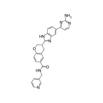 Nc1nccc(-c2ccc3[nH]c(C4COc5ccc(C(=O)NCc6cccnc6)cc5C4)nc3c2)n1